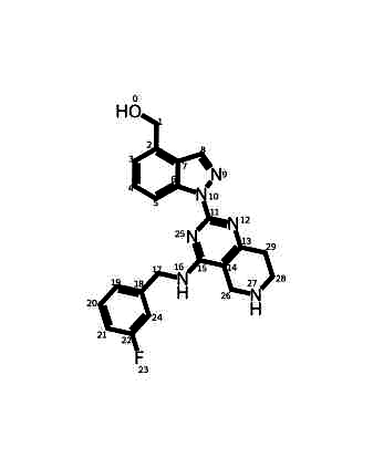 OCc1cccc2c1cnn2-c1nc2c(c(NCc3cccc(F)c3)n1)CNCC2